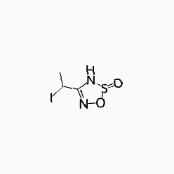 CC(I)C1=NOS(=O)N1